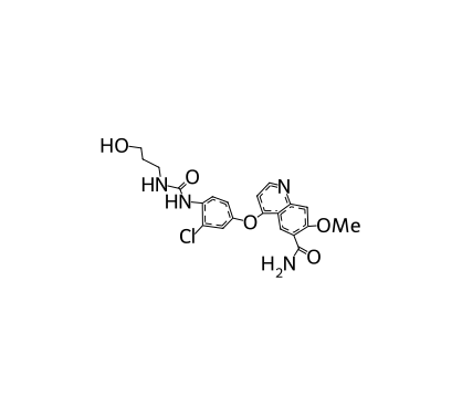 COc1cc2nccc(Oc3ccc(NC(=O)NCCCO)c(Cl)c3)c2cc1C(N)=O